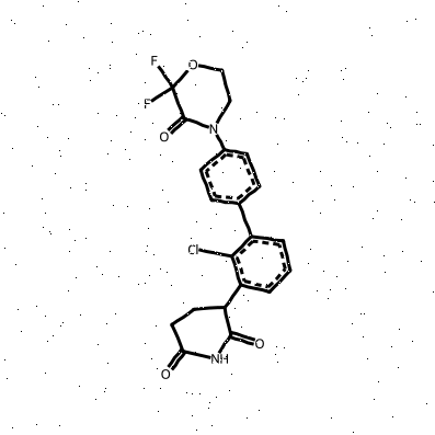 O=C1CCC(c2cccc(-c3ccc(N4CCOC(F)(F)C4=O)cc3)c2Cl)C(=O)N1